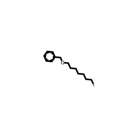 ICCCCCCCOCc1ccccc1